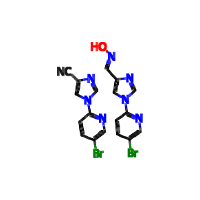 N#Cc1cn(-c2ccc(Br)cn2)cn1.ON=Cc1cn(-c2ccc(Br)cn2)cn1